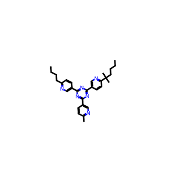 CCCCc1ccc(-c2nc(-c3ccc(C)nc3)nc(-c3ccc(C(C)(C)CCCC)nc3)n2)cn1